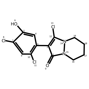 O=c1c(-c2cc(O)c(Cl)cc2Cl)c(Cl)n2n1CCCC2